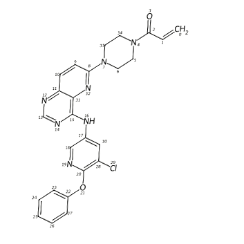 C=CC(=O)N1CCN(c2ccc3ncnc(Nc4cnc(Oc5ccccc5)c(Cl)c4)c3n2)CC1